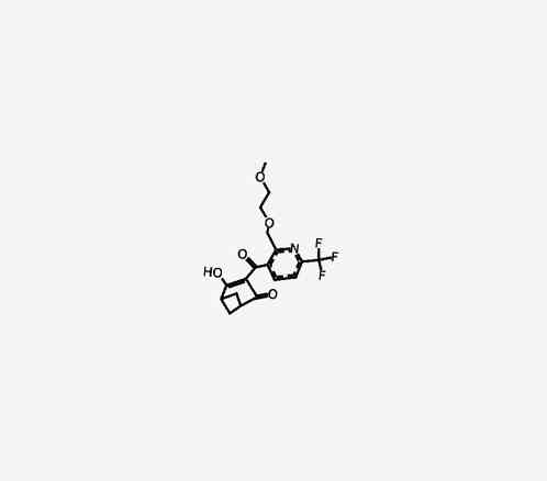 COCCOCc1nc(C(F)(F)F)ccc1C(=O)C1=C(O)C2CC(C2)C1=O